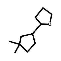 CC1(C)CCC(C2CCCO2)C1